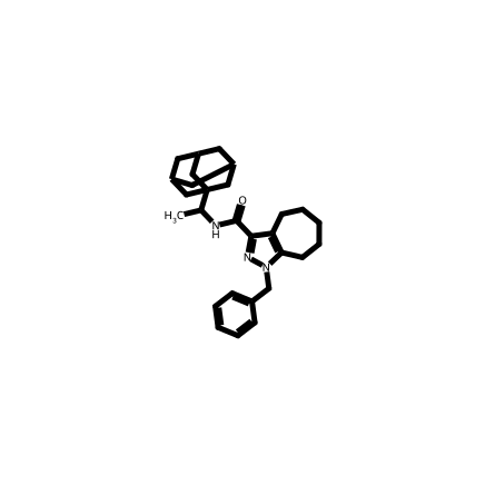 CC(NC(=O)c1nn(Cc2ccccc2)c2c1CCCCC2)C12CC3CC(CC(C3)C1)C2